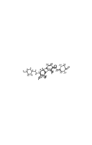 CC1CCC(CCc2cc3c(c(F)c2F)C2C(F)=C(OCC4CCC(C)CC4)C=CC32)CC1